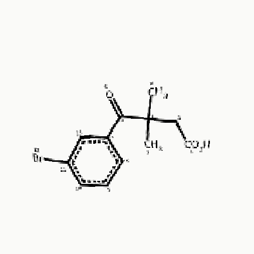 CC(C)(CC(=O)O)C(=O)c1cccc(Br)c1